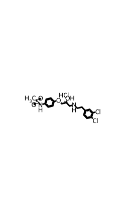 CS(=O)(=O)Nc1ccc(OC[C@@H](O)CNCCc2ccc(Cl)c(Cl)c2)cc1.Cl